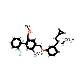 CCOCc1cc(COc2cccc([C@@H](CC(=O)O)CC3CC3)c2)c(OC)cc1-c1ccccc1F